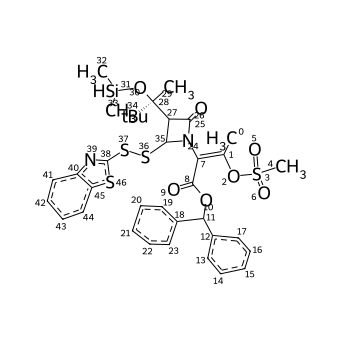 C/C(OS(C)(=O)=O)=C(/C(=O)OC(c1ccccc1)c1ccccc1)N1C(=O)C([C@](C)(O[SiH](C)C)C(C)(C)C)C1SSc1nc2ccccc2s1